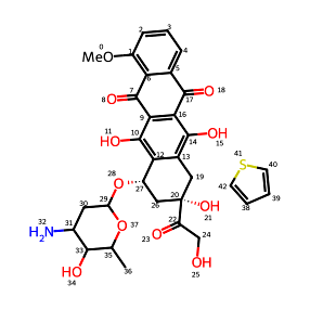 COc1cccc2c1C(=O)c1c(O)c3c(c(O)c1C2=O)C[C@@](O)(C(=O)CO)C[C@@H]3OC1CC(N)C(O)C(C)O1.c1ccsc1